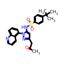 CC(=O)Cc1cc(NS(=O)(=O)c2ccc(C(C)(C)C)cc2)n(-c2cccc3ncccc23)n1